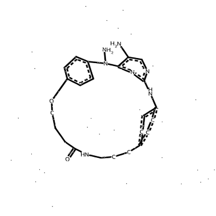 Nc1cnc2nc1N(N)c1ccc(cc1)OCCCC(=O)NCCCc1ccc(cc1)N2